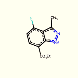 CCOC(=O)c1ccc(F)c2c(C)n[nH]c12